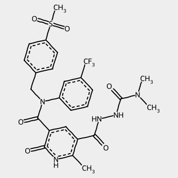 Cc1[nH]c(=O)c(C(=O)N(Cc2ccc(S(C)(=O)=O)cc2)c2cccc(C(F)(F)F)c2)cc1C(=O)NNC(=O)N(C)C